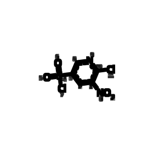 O=[N+]([O-])c1cc(S(=O)(=O)Cl)cnc1Cl